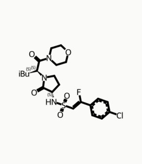 CC[C@H](C)[C@@H](C(=O)N1CCOCC1)N1CC[C@H](NS(=O)(=O)C=C(F)c2ccc(Cl)cc2)C1=O